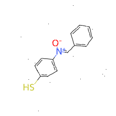 [O-][N+](=Cc1ccccc1)c1ccc(S)cc1